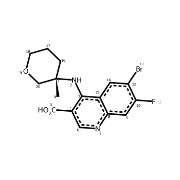 C[C@]1(Nc2c(C(=O)O)cnc3cc(F)c(Br)cc23)CCCOC1